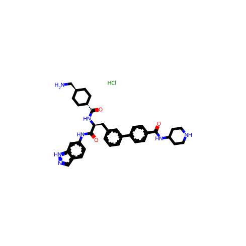 Cl.NC[C@H]1CC[C@H](C(=O)N[C@@H](Cc2cccc(-c3ccc(C(=O)NC4CCNCC4)cc3)c2)C(=O)Nc2ccc3cn[nH]c3c2)CC1